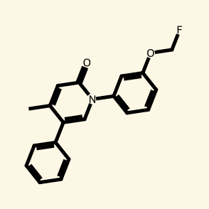 Cc1cc(=O)n(-c2cccc(OCF)c2)cc1-c1ccccc1